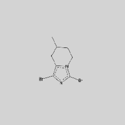 CC1CCn2c(Br)nc(Br)c2C1